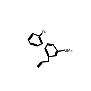 C=CCc1cccc(OC)c1.Oc1ccccc1